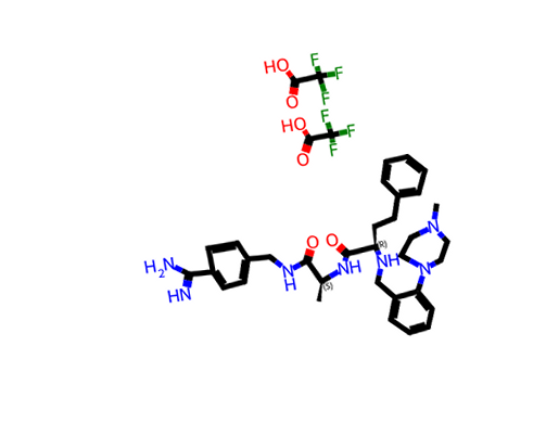 C[C@H](NC(=O)[C@@H](CCc1ccccc1)NCc1ccccc1N1CCN(C)CC1)C(=O)NCc1ccc(C(=N)N)cc1.O=C(O)C(F)(F)F.O=C(O)C(F)(F)F